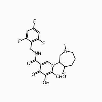 CCC1CCCN(C)CC1n1cc(C(=O)NCc2c(F)cc(F)cc2F)c(=O)c(O)c1C=O